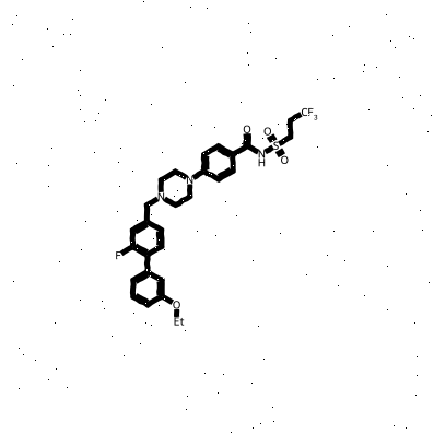 CCOc1cccc(-c2ccc(CN3CCN(c4ccc(C(=O)NS(=O)(=O)CCC(F)(F)F)cc4)CC3)cc2F)c1